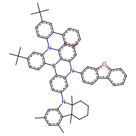 Cc1cc2c3c(c1)N(c1ccc(C(C)(C)C)cc1-c1ccccc1)c1cc(C(C)(C)C)ccc1B3c1ccc(N3c4cc(C)cc(C)c4C4(C)CCCCC34C)cc1N2c1ccc2c(c1)oc1ccccc12